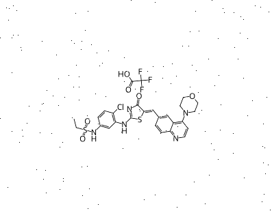 CCS(=O)(=O)Nc1ccc(Cl)c(NC2=NC(=O)/C(=C/c3ccc4nccc(N5CCOCC5)c4c3)S2)c1.O=C(O)C(F)(F)F